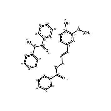 COc1cc(/C=C/COC(=O)c2ccccc2)ccc1O.O=C(c1ccccc1)C(O)c1ccccc1